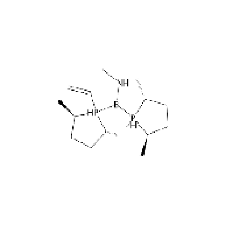 C=C[PH]1(B(NC)[PH]2(C)[C@H](C)CC[C@H]2C)[C@H](C)CC[C@H]1C